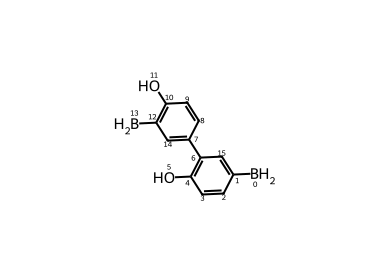 Bc1ccc(O)c(-c2ccc(O)c(B)c2)c1